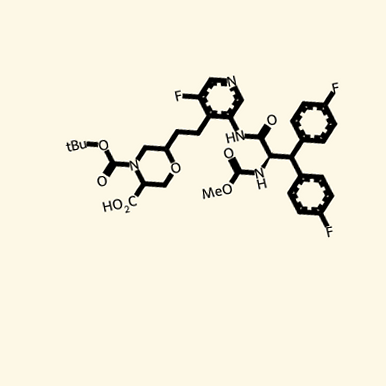 COC(=O)N[C@@H](C(=O)Nc1cncc(F)c1CCC1CN(C(=O)OC(C)(C)C)C(C(=O)O)CO1)C(c1ccc(F)cc1)c1ccc(F)cc1